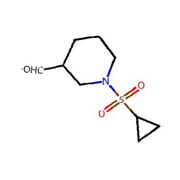 O=[C]C1CCCN(S(=O)(=O)C2CC2)C1